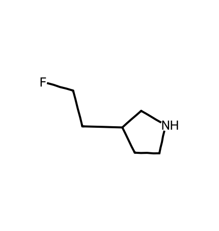 FCCC1CCNC1